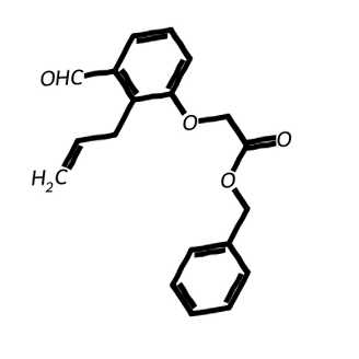 C=CCc1c(C=O)cccc1OCC(=O)OCc1ccccc1